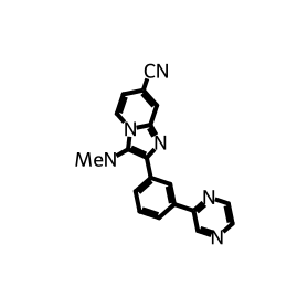 CNc1c(-c2cccc(-c3cnccn3)c2)nc2cc(C#N)ccn12